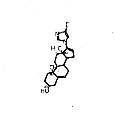 C[C@]12CC[C@H](O)CC1=CCC1C2CC[C@]2(C)C(n3cnc(F)c3)=CCC12